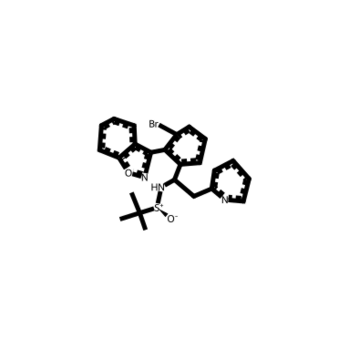 CC(C)(C)[S@+]([O-])NC(Cc1ccccn1)c1cccc(Br)c1-c1noc2ccccc12